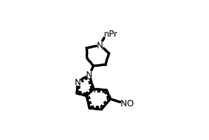 CCCN1CCC(n2ncc3ccc(N=O)cc32)CC1